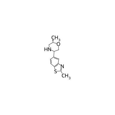 Cc1nc2cc(C3CO[C@H](C)CN3)ccc2s1